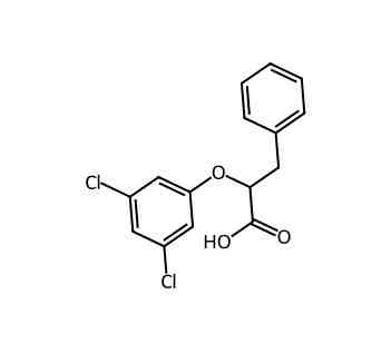 O=C(O)C(Cc1ccccc1)Oc1cc(Cl)cc(Cl)c1